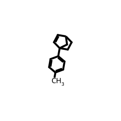 Cc1ccc(C23C=CC(CC2)C3)cc1